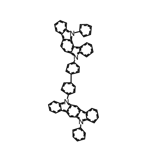 c1ccc(-n2c3ccccc3c3cc4c(cc32)c2ccccc2n4-c2ccc(-c3ccc(-n4c5ccccc5c5c4ccc4c6ccccc6n(-c6ccccc6)c45)cc3)cc2)cc1